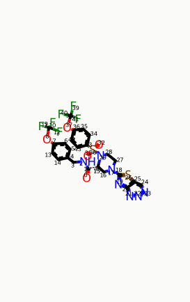 O=C(NCc1ccc(OC(F)(F)F)cc1)[C@H]1CN(c2nc3nnncc3s2)CCN1S(=O)(=O)c1ccc(OC(F)(F)F)cc1